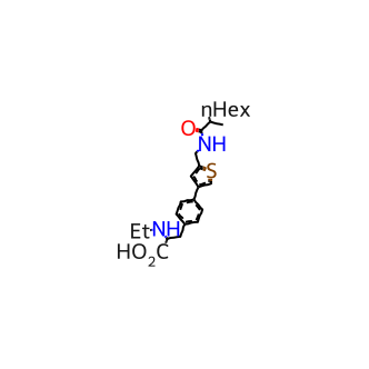 CCCCCCC(C)C(=O)NCc1cc(-c2ccc(CC(NCC)C(=O)O)cc2)cs1